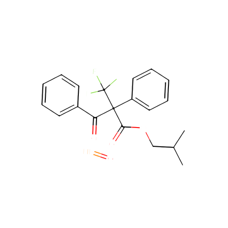 CC(C)COC(=O)C(C(=O)c1ccccc1)(c1ccccc1)C(F)(F)F.O=P